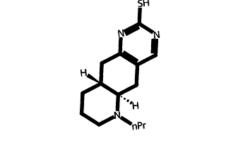 CCCN1CCC[C@@H]2Cc3nc(S)ncc3C[C@H]21